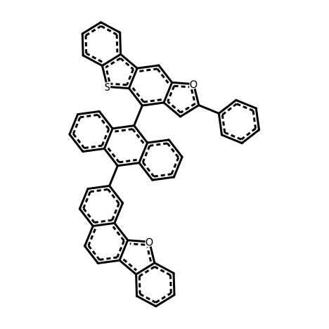 c1ccc(-c2cc3c(-c4c5ccccc5c(-c5ccc6ccc7c8ccccc8oc7c6c5)c5ccccc45)c4sc5ccccc5c4cc3o2)cc1